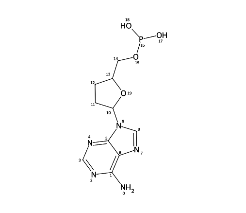 Nc1ncnc2c1ncn2C1CCC(COP(O)O)O1